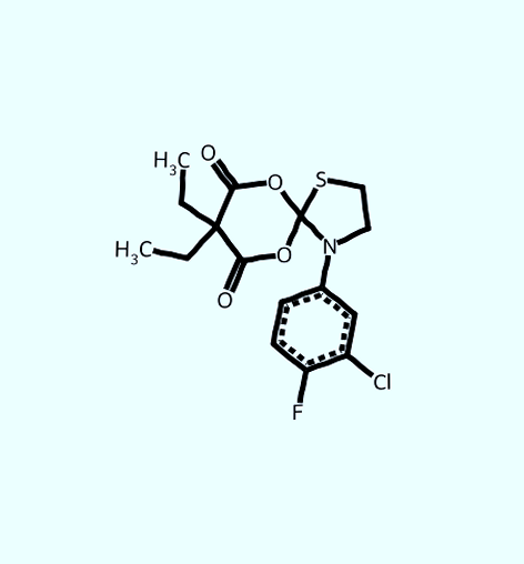 CCC1(CC)C(=O)OC2(OC1=O)SCCN2c1ccc(F)c(Cl)c1